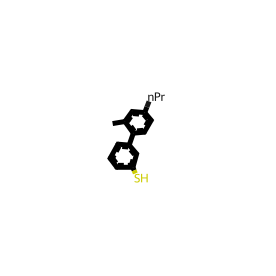 CCCc1ccc(-c2cccc(S)c2)c(C)c1